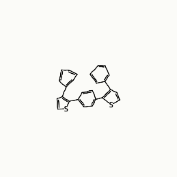 c1ccc(-c2ccsc2-c2ccc(-c3sccc3-c3ccccc3)cc2)cc1